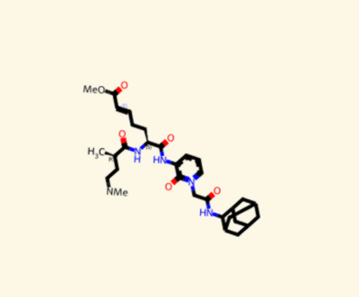 CNCC[C@@H](C)C(=O)N[C@@H](CC/C=C/C(=O)OC)C(=O)Nc1cccn(CC(=O)NC2C3CC4CC(C3)CC2C4)c1=O